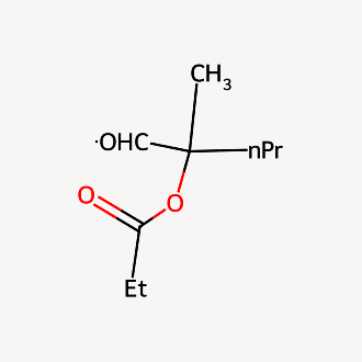 CCCC(C)([C]=O)OC(=O)CC